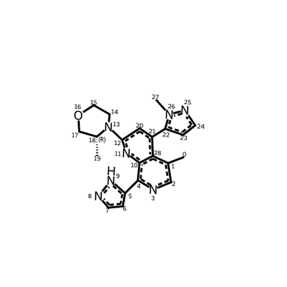 Cc1cnc(-c2ccn[nH]2)c2nc(N3CCOC[C@H]3C)cc(-c3ccnn3C)c12